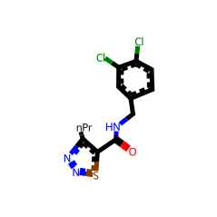 CCCc1nnsc1C(=O)NCc1ccc(Cl)c(Cl)c1